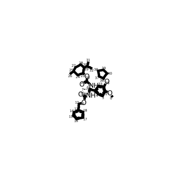 COc1ccc([C@@](C)(NC(=O)OCc2ccccc2)NC(=O)OC2CC(C)CCC2C(C)C)cc1OC1CCCC1